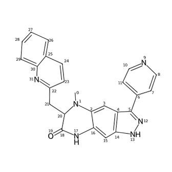 CN1c2cc3c(-c4ccncc4)n[nH]c3cc2NC(=O)C1Cc1ccc2ccccc2n1